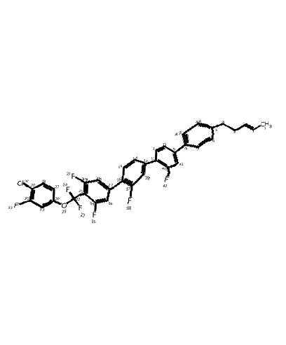 C/C=C/CCc1ccc(-c2ccc(-c3ccc(-c4cc(F)c(C(F)(F)Oc5ccc(Cl)c(F)c5)c(F)c4)c(F)c3)c(F)c2)cc1